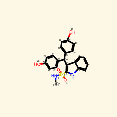 CC(C)NS(=O)(=O)c1[nH]c2ccccc2c1C(c1ccc(O)cc1)c1ccc(O)cc1